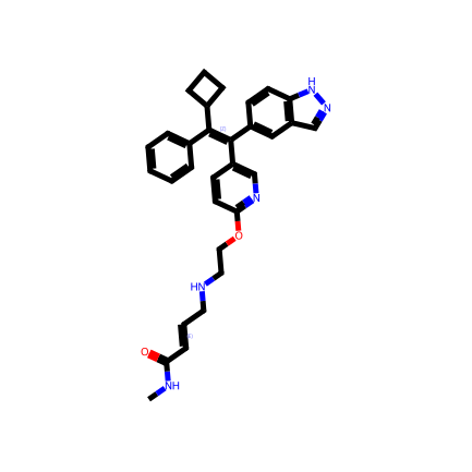 CNC(=O)/C=C/CNCCOc1ccc(/C(=C(\c2ccccc2)C2CCC2)c2ccc3[nH]ncc3c2)cn1